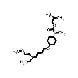 CCN(CCCCO[C@H]1CC[C@H](N(C)C(=O)OCC(C)C)CC1)CCOC